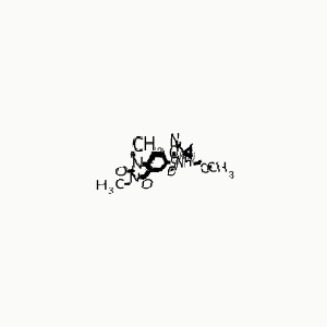 CCn1c(=O)c2cc(S(=O)(=O)N[C@]3(C#N)C[C@@H]3CCOC)ccc2n(CC)c1=O